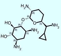 NC(C1CC1)[C@@H]1CC[C@@H](N)[C@@H](O[C@H]2[C@H](O)[C@@H](O)[C@H](N)C[C@@H]2N)O1